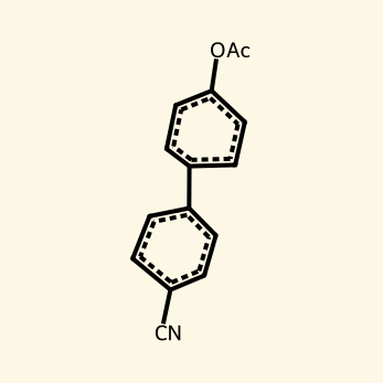 CC(=O)Oc1ccc(-c2ccc(C#N)cc2)cc1